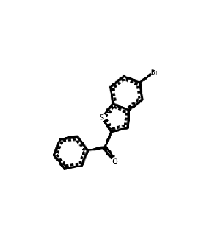 O=C(c1ccccc1)c1cc2cc(Br)ccc2s1